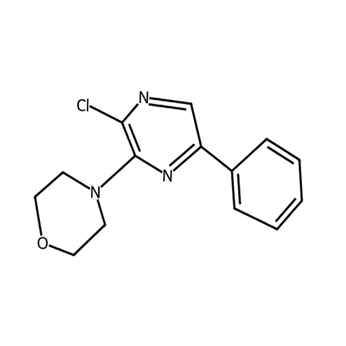 Clc1ncc(-c2ccccc2)nc1N1CCOCC1